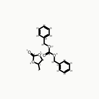 CC1COC(=O)O1.O=C(OCc1ccccc1)OCc1ccccc1